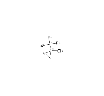 FC(F)(F)C1(Cl)[CH]C1